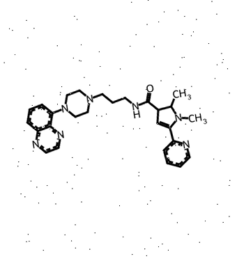 CC1C(C(=O)NCCCN2CCN(c3cccc4nccnc34)CC2)C=C(c2ccccn2)N1C